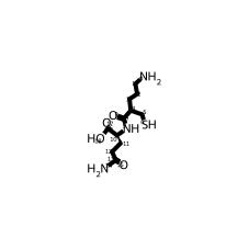 NCCCC(CS)C(=O)N[C@@H](CCC(N)=O)C(=O)O